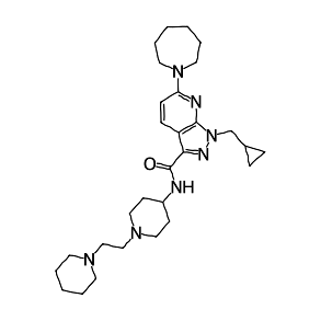 O=C(NC1CCN(CCN2CCCCC2)CC1)c1nn(CC2CC2)c2nc(N3CCCCCC3)ccc12